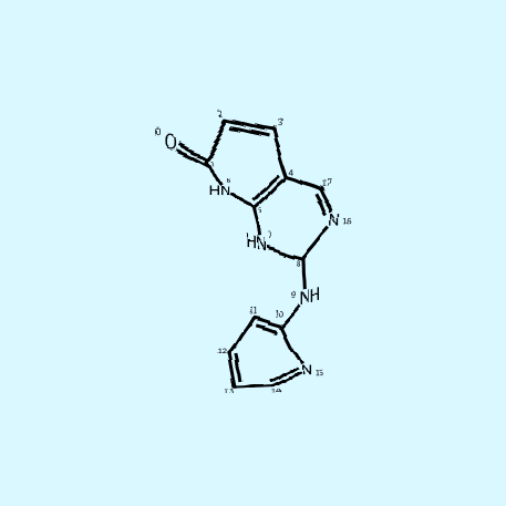 O=c1ccc2c([nH]1)NC(Nc1ccccn1)N=C2